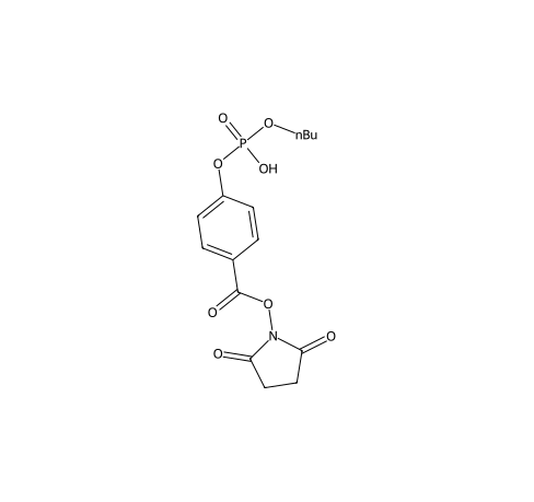 CCCCOP(=O)(O)Oc1ccc(C(=O)ON2C(=O)CCC2=O)cc1